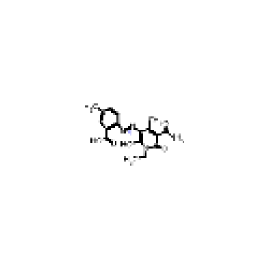 CCn1c(O)c(/N=N/c2ccc(C)cc2C(=O)O)c(C)c(C(N)=O)c1=O